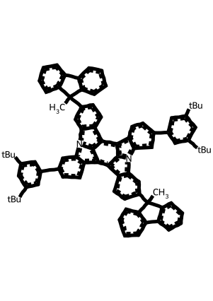 CC(C)(C)c1cc(-c2ccc3c4c5c6ccc(C7(C)c8ccccc8-c8ccccc87)cc6n6c7cc(-c8cc(C(C)(C)C)cc(C(C)(C)C)c8)ccc7c(c7c8ccc(C9(C)c%10ccccc%10-c%10ccccc%109)cc8n(c3c2)c47)c56)cc(C(C)(C)C)c1